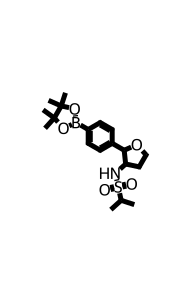 CC(C)S(=O)(=O)NC1CCOC1c1ccc(B2OC(C)(C)C(C)(C)O2)cc1